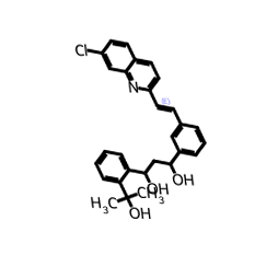 CC(C)(O)c1ccccc1C(O)CC(O)c1cccc(/C=C/c2ccc3ccc(Cl)cc3n2)c1